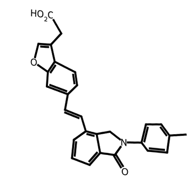 Cc1ccc(N2Cc3c(/C=C/c4ccc5c(CC(=O)O)coc5c4)cccc3C2=O)cc1